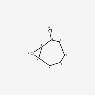 ClC1CCCCC2OC12